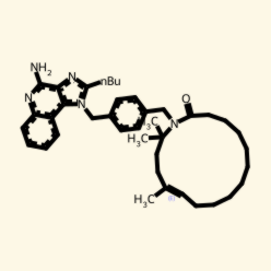 CCCCc1nc2c(N)nc3ccccc3c2n1Cc1ccc(CN2C(=O)CCCCCCCCC/C=C(\C)CCC2(C)C)cc1